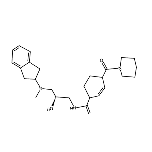 C=C(NC[C@@H](O)CN(C)C1Cc2ccccc2C1)C1C=CC(C(=O)N2CCCCC2)CC1